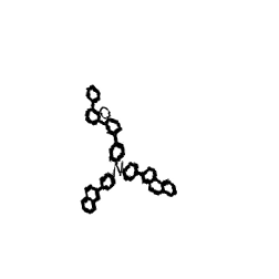 c1ccc(-c2cccc3c2oc2ccc(-c4ccc(N(c5ccc(-c6ccc7ccccc7c6)cc5)c5ccc(-c6ccc7c(ccc8ccccc87)c6)cc5)cc4)cc23)cc1